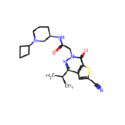 CC(C)c1nn(CC(=O)NC2CCCN(C3CCC3)C2)c(=O)c2sc(C#N)cc12